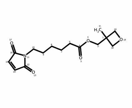 CC1(COC(=O)CCCCCN2C(=O)C=CC2=O)COC1